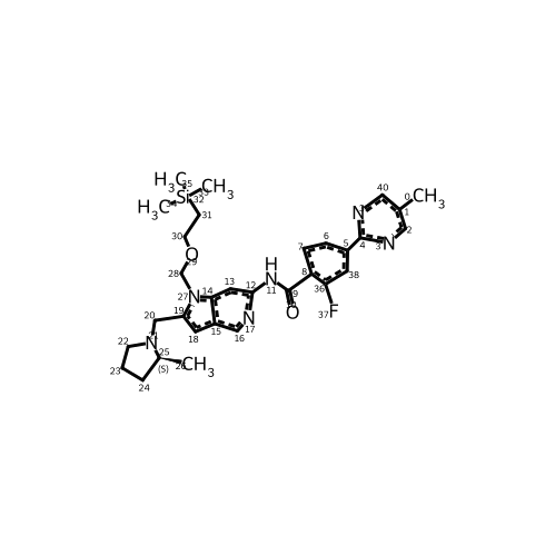 Cc1cnc(-c2ccc(C(=O)Nc3cc4c(cn3)cc(CN3CCC[C@@H]3C)n4COCC[Si](C)(C)C)c(F)c2)nc1